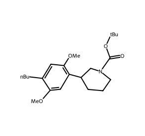 CCCCc1cc(OC)c(C2CCCN(C(=O)OC(C)(C)C)C2)cc1OC